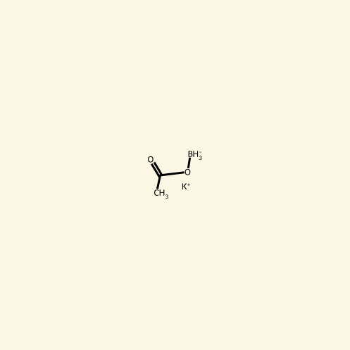 [BH3-]OC(C)=O.[K+]